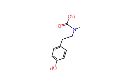 CN(CCc1ccc(O)cc1)C(=O)O